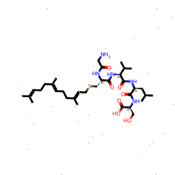 CC(C)=CCCC(C)=CCCC(C)=CCSC[C@H](NC(=O)CN)C(=O)N[C@H](C(=O)N[C@@H](CC(C)C)C(=O)N[C@@H](CO)C(=O)O)C(C)C